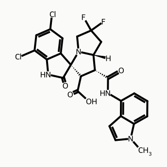 Cn1ccc2c(NC(=O)[C@@H]3C(C(=O)O)[C@@]4(C(=O)Nc5c(Cl)cc(Cl)cc54)N4CC(F)(F)C[C@H]34)cccc21